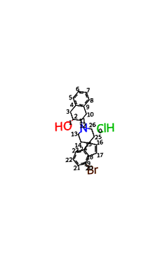 Cl.OC1Cc2ccccc2CC1N1CCC2(C=Cc3c(Br)cccc32)CC1